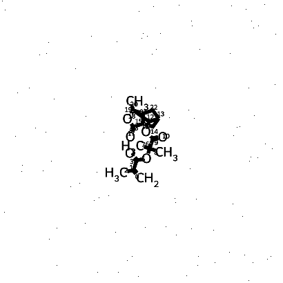 C=C(C)C(=O)OC(C)(C)C(=O)OC1C2CC3C(=O)OC1(C)C3C2